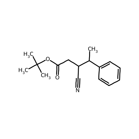 CC(c1ccccc1)C(C#N)CC(=O)OC(C)(C)C